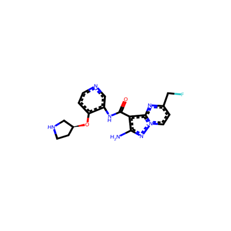 Nc1nn2ccc(CF)nc2c1C(=O)Nc1cnccc1O[C@H]1CCNC1